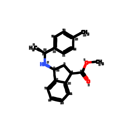 COC(=O)C1C[C@H](N[C@@H](C)c2ccc(C)cc2)c2ccccc21